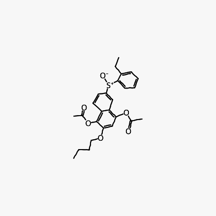 CCCCOc1cc(OC(C)=O)c2cc([S+]([O-])c3ccccc3CC)ccc2c1OC(C)=O